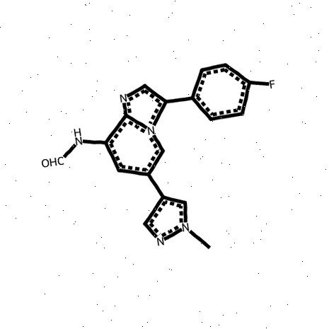 Cn1cc(-c2cc(NC=O)c3ncc(-c4ccc(F)cc4)n3c2)cn1